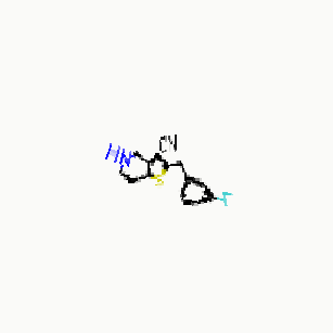 N#Cc1c(Cc2cccc(F)c2)sc2c1CNCC2